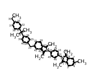 C=c1c2ccc(C)cc2c(=C)n1-c1ccc(-n2c(=C)c3ccc(Cc4ccc(C(C)(C)c5ccc(CC)cc5)cc4)cc3c2=C)cc1